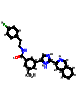 O=C(O)c1cc(C(=O)NCCc2ccc(F)cc2)cc(-c2cnc(-c3cc4ccccc4cn3)[nH]2)c1